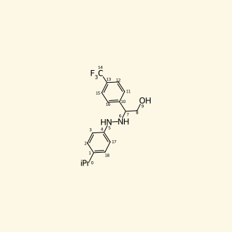 CC(C)c1ccc(NNC(CO)c2ccc(C(F)(F)F)cc2)cc1